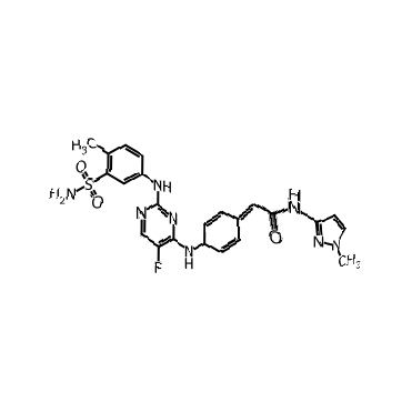 Cc1ccc(Nc2ncc(F)c(NC3C=CC(=CC(=O)Nc4ccn(C)n4)C=C3)n2)cc1S(N)(=O)=O